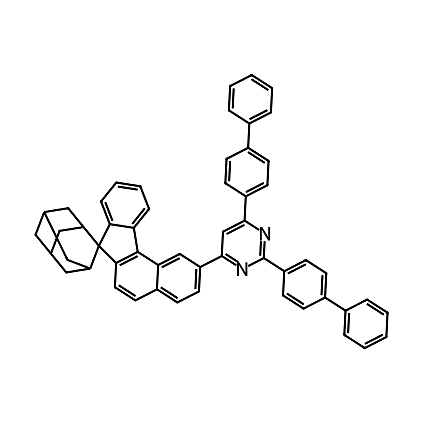 c1ccc(-c2ccc(-c3cc(-c4ccc5ccc6c(c5c4)-c4ccccc4C64C5CC6CC(C5)CC4C6)nc(-c4ccc(-c5ccccc5)cc4)n3)cc2)cc1